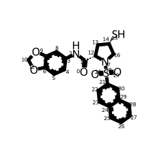 O=C(Nc1ccc2c(c1)OCO2)[C@@H]1C[C@H](S)CN1S(=O)(=O)c1ccc2ccccc2c1